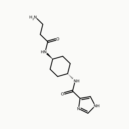 NCCC(=O)N[C@H]1CC[C@H](NC(=O)c2c[nH]cn2)CC1